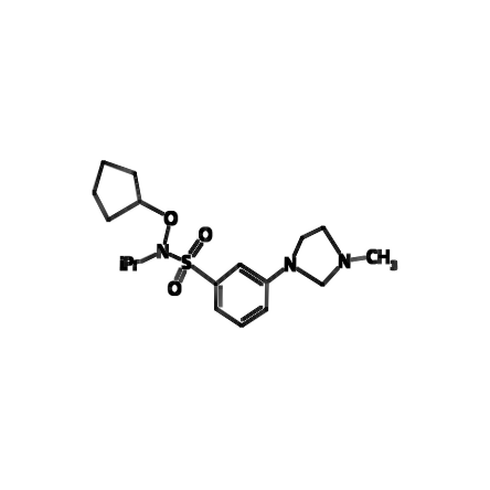 CC(C)N(OC1CCCC1)S(=O)(=O)c1cccc(N2CCN(C)C2)c1